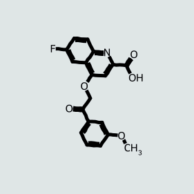 COc1cccc(C(=O)COc2cc(C(=O)O)nc3ccc(F)cc23)c1